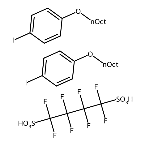 CCCCCCCCOc1ccc(I)cc1.CCCCCCCCOc1ccc(I)cc1.O=S(=O)(O)C(F)(F)C(F)(F)C(F)(F)C(F)(F)S(=O)(=O)O